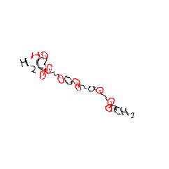 C=CC(=O)OCCCOc1ccc(/C=C/C(=O)Oc2ccc(OCCCCOC(=O)C(=C)CO)cc2)cc1